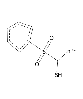 CCCC(S)S(=O)(=O)c1ccccc1